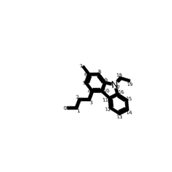 CCCCc1cc(C)cc2c1c1ccccc1n2CC